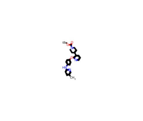 Cc1ccc(Nc2ccc(Oc3ncccc3C3=CCN(C(=O)OC(C)(C)C)CC3)cc2)nc1